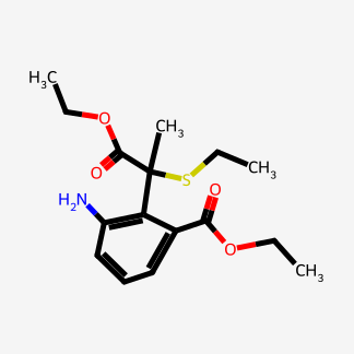 CCOC(=O)c1cccc(N)c1C(C)(SCC)C(=O)OCC